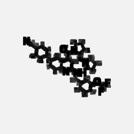 N#Cc1ccc(-c2ccc3nc(NCc4cccc(OC(F)F)c4)cc(C(=O)N4CCC[C@H]4CN4CCCC4)c3c2)cc1